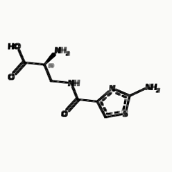 Nc1nc(C(=O)NC[C@H](N)C(=O)O)cs1